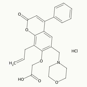 C=CCc1c(OCC(=O)O)c(CN2CCOCC2)cc2c(-c3ccccc3)cc(=O)oc12.Cl